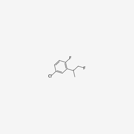 C[C](CF)c1cc(Cl)ccc1F